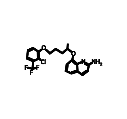 CC(CCCOc1cccc(C(F)(F)F)c1Cl)Oc1cccc2ccc(N)nc12